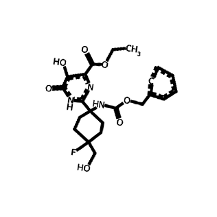 CCOC(=O)c1nc(C2(NC(=O)OCc3ccccc3)CCC(F)(CO)CC2)[nH]c(=O)c1O